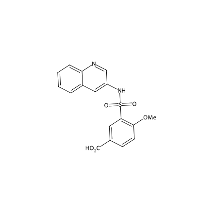 COc1ccc(C(=O)O)cc1S(=O)(=O)Nc1cnc2ccccc2c1